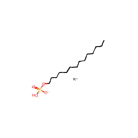 CCCCCCCCCCCCCCOP(=O)([O-])O.[K+]